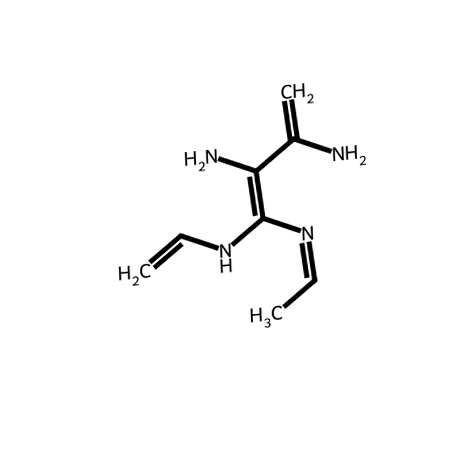 C=CNC(/N=C\C)=C(\N)C(=C)N